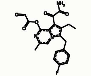 CCc1c(C(=O)C(N)=O)c2c(OC(=O)C=O)nc(C)cn2c1Cc1ccc(F)cc1